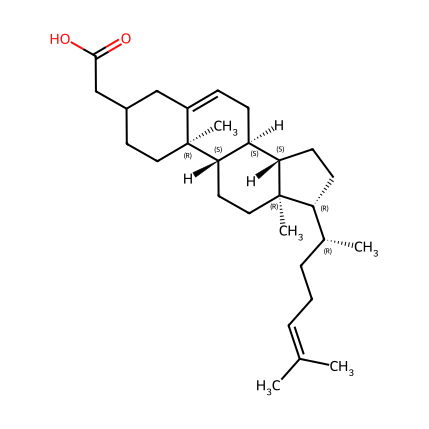 CC(C)=CCC[C@@H](C)[C@H]1CC[C@H]2[C@@H]3CC=C4CC(CC(=O)O)CC[C@]4(C)[C@H]3CC[C@]12C